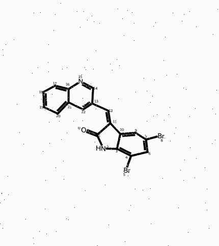 O=C1Nc2c(Br)cc(Br)cc2C1=Cc1cnc2ccccc2c1